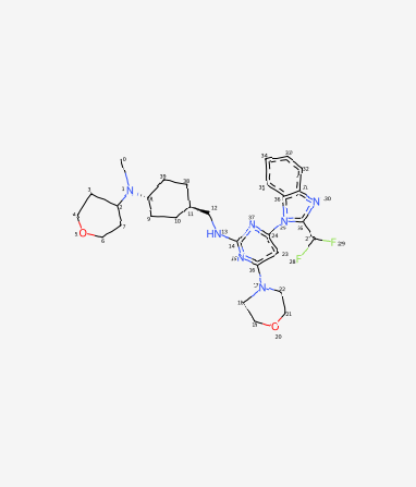 CN(C1CCOCC1)[C@H]1CC[C@H](CNc2nc(N3CCOCC3)cc(-n3c(C(F)F)nc4ccccc43)n2)CC1